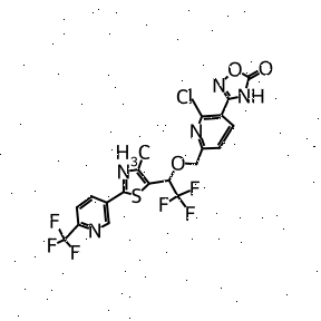 Cc1nc(-c2ccc(C(F)(F)F)nc2)sc1C(OCc1ccc(-c2noc(=O)[nH]2)c(Cl)n1)C(F)(F)F